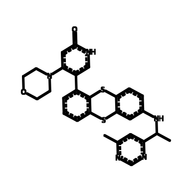 Cc1cc(C(C)Nc2ccc3c(c2)Sc2cccc(-c4c[nH]c(=O)cc4N4CCOCC4)c2S3)ncn1